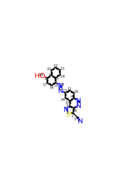 N#Cc1snc2c1nnc1ccc(/N=N/c3ccc(O)c4ccccc34)cc12